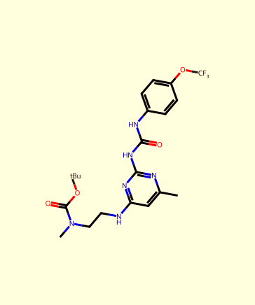 Cc1cc(NCCN(C)C(=O)OC(C)(C)C)nc(NC(=O)Nc2ccc(OC(F)(F)F)cc2)n1